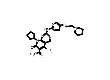 CC(=O)c1c(C)c2cnc(Nc3ccc(OCCN4CCCCC4)cn3)nc2n(C2CCCC2)c1=O